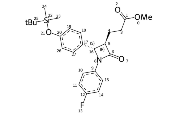 COC(=O)CC[C@H]1C(=O)N(c2ccc(F)cc2)[C@@H]1c1ccc(O[Si](C)(C)C(C)(C)C)cc1